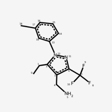 CCc1c(CN)c(C(F)(F)F)nn1-c1cccc(C)c1